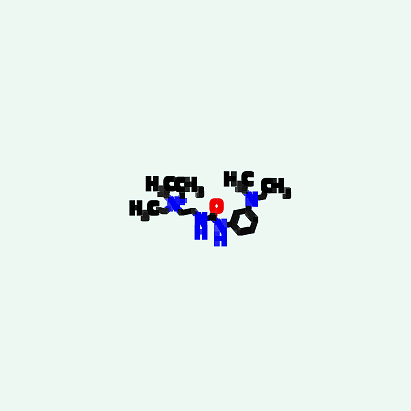 CCN(CC)c1cccc(NC(=O)NCC[N+](CC)(CC)CC)c1